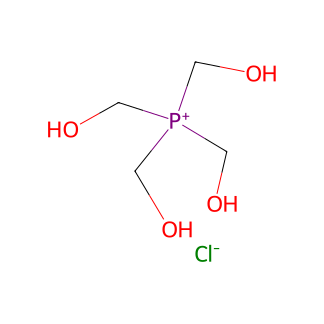 OC[P+](CO)(CO)CO.[Cl-]